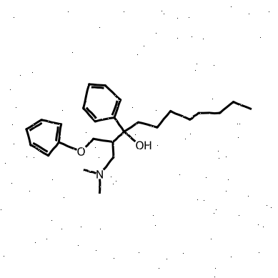 CCCCCCCCC(O)(c1ccccc1)C(COc1ccccc1)CN(C)C